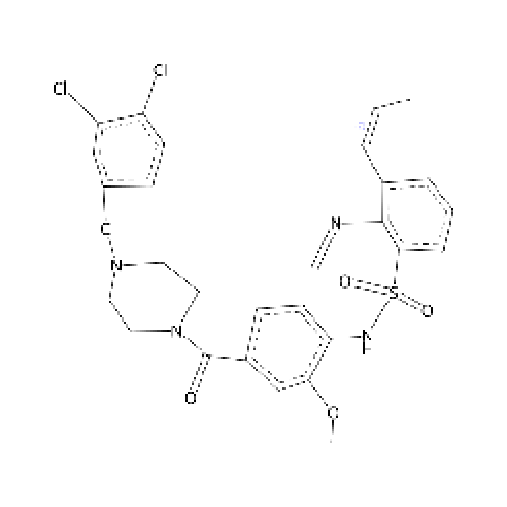 C=Nc1c(/C=C\C)cccc1S(=O)(=O)Nc1ccc(C(=O)N2CCN(Cc3ccc(Cl)c(Cl)c3)CC2)cc1OC